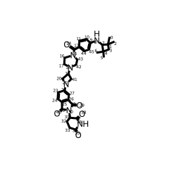 CC1(C)CC(C)(C)C1Nc1ccc(C(=O)N2CCN(C3CN(c4ccc5c(c4)C(=O)N(C4CCC(=O)NC4=O)C5=O)C3)CC2)cc1